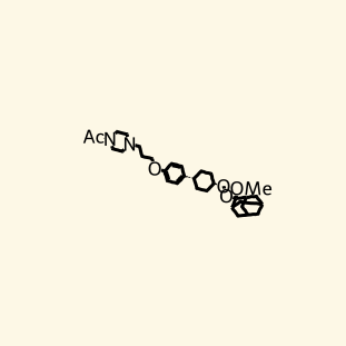 COC1(OO[C@H]2CC[C@@H](c3ccc(OCCCN4CCN(C(C)=O)CC4)cc3)CC2)C2CC3CC(C2)CC1C3